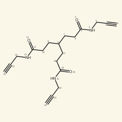 C#CCNC(=O)CCC(CCC(=O)NCC#C)CCC(=O)NCC#C